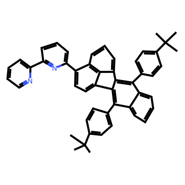 CC(C)(C)c1ccc(-c2c3c(c(-c4ccc(C(C)(C)C)cc4)c4ccccc24)-c2ccc(-c4cccc(-c5ccccn5)n4)c4cccc-3c24)cc1